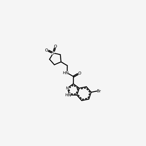 O=C(NCC1CCS(=O)(=O)C1)c1n[nH]c2ccc(Br)cc12